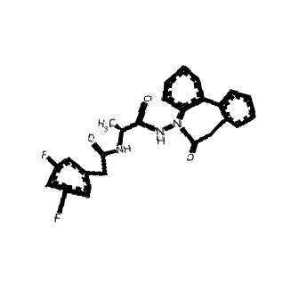 C[C@H](NC(=O)Cc1cc(F)cc(F)c1)C(=O)NN1C(=O)Cc2ccccc2-c2ccccc21